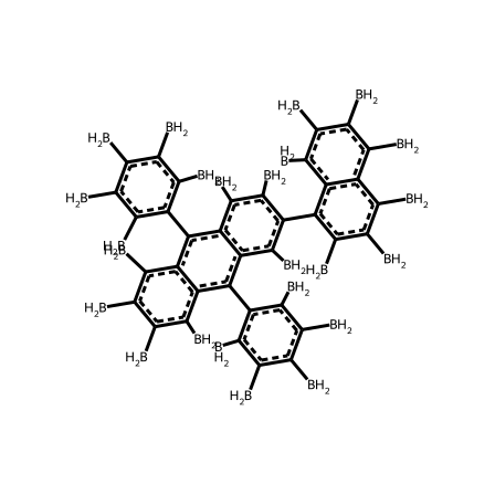 Bc1c(B)c(B)c(-c2c3c(B)c(B)c(B)c(B)c3c(-c3c(B)c(B)c(B)c(B)c3B)c3c(B)c(-c4c(B)c(B)c(B)c5c(B)c(B)c(B)c(B)c45)c(B)c(B)c23)c(B)c1B